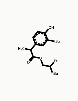 CCCCC(CC)COC(=O)C(C)c1ccc(O)c(C(C)(C)C)c1